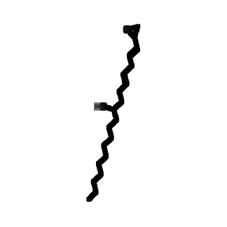 CCCCCCCCCCC(O)CCC=CCC=CC1CO1